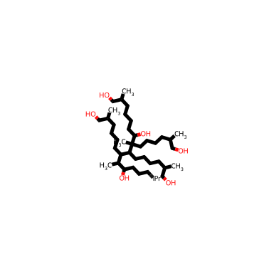 CC(C)CCCC(O)C(C)C(CCCCC(C)CO)C(CCCCC(C)CO)C(C)(CCCCC(C)CO)C(O)CCCCC(C)CO